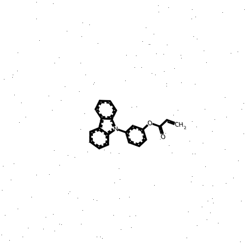 C=CC(=O)Oc1cccc(-n2c3ccccc3c3ccccc32)c1